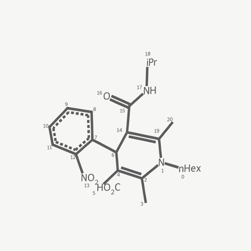 CCCCCCN1C(C)=C(C(=O)O)C(c2ccccc2[N+](=O)[O-])C(C(=O)NC(C)C)=C1C